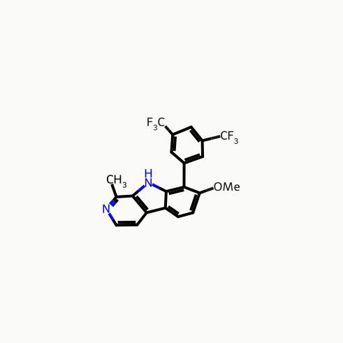 COc1ccc2c([nH]c3c(C)nccc32)c1-c1cc(C(F)(F)F)cc(C(F)(F)F)c1